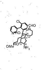 COCCCC[C@@](O)(c1cccc(Cl)c1-c1cccnc1)[C@@]1([C@H]2C[C@@H](N)[C@@H](O)C2)CN(C=O)CCO1